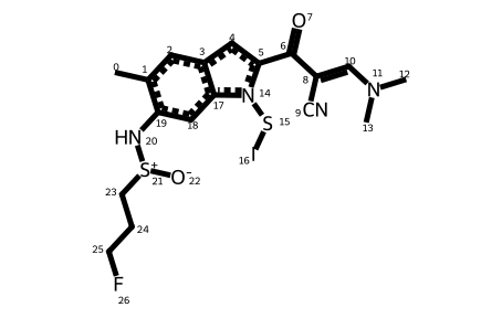 Cc1cc2cc(C(=O)/C(C#N)=C/N(C)C)n(SI)c2cc1N[S+]([O-])CCCF